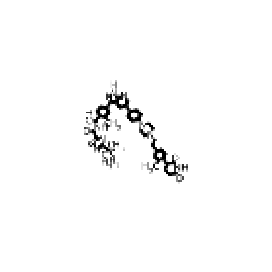 Cc1cc(CCN2CCN(c3ccc(-c4cnc5[nH]nc(-c6ccc([C@@H](C)NC(=O)c7nc(C(C)(C)C)no7)c(C)c6)c5c4)cc3)CC2)ccc1C1CCC(=O)NC1=O